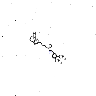 O=C(/C=C/c1ccc(C(F)(F)F)c(C(F)(F)F)c1)CCCCc1ccc2c(n1)NCCC2